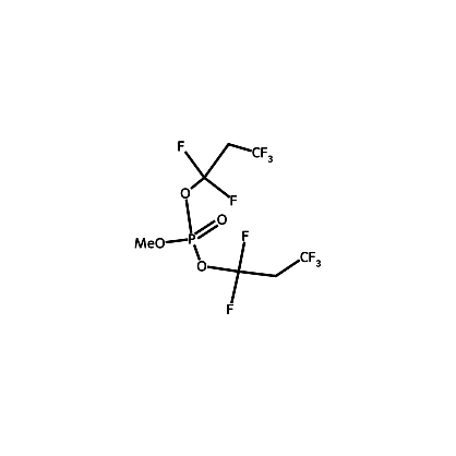 COP(=O)(OC(F)(F)CC(F)(F)F)OC(F)(F)CC(F)(F)F